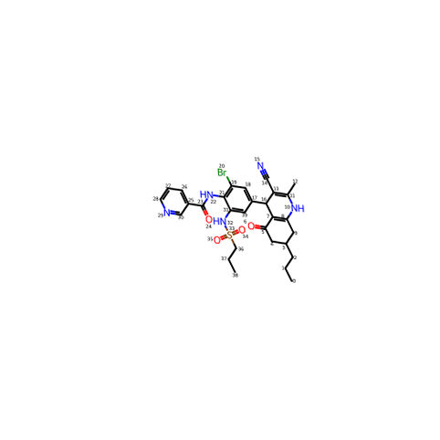 CCCC1CC(=O)C2=C(C1)NC(C)=C(C#N)C2c1cc(Br)c(NC(=O)c2cccnc2)c(NS(=O)(=O)CCC)c1